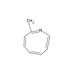 [CH2]C1=N/C=C\C=C/C=C\1